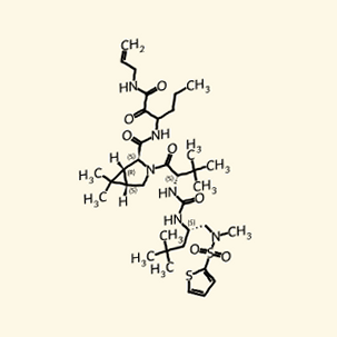 C=CCNC(=O)C(=O)C(CCC)NC(=O)[C@@H]1[C@@H]2[C@H](CN1C(=O)[C@@H](NC(=O)N[C@H](CN(C)S(=O)(=O)c1cccs1)CC(C)(C)C)C(C)(C)C)C2(C)C